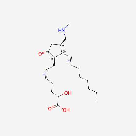 CCCCCC/C=C/[C@H]1[C@H](CNC)CC(=O)[C@@H]1C/C=C\CCC(O)C(=O)O